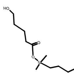 CCCC[Si](C)(C)OC(=O)CCCCO